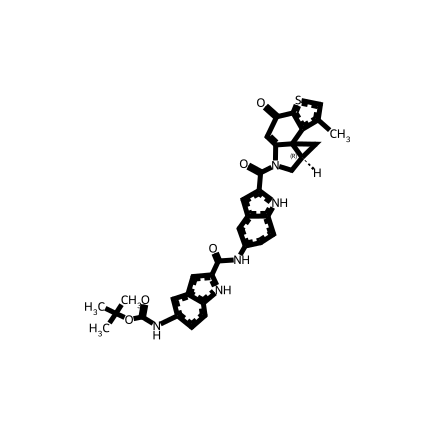 Cc1csc2c1C13C[C@H]1CN(C(=O)c1cc4cc(NC(=O)c5cc6cc(NC(=O)OC(C)(C)C)ccc6[nH]5)ccc4[nH]1)C3=CC2=O